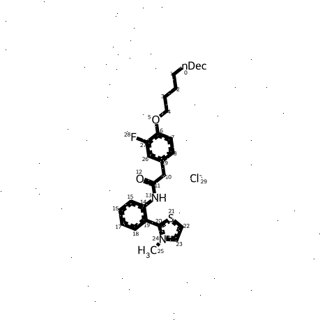 CCCCCCCCCCCCCCOc1ccc(CC(=O)Nc2ccccc2-c2scc[n+]2C)cc1F.[Cl-]